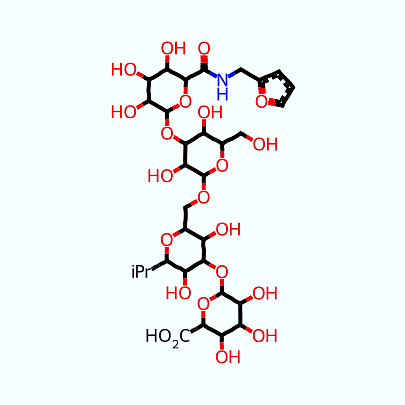 CC(C)C1OC(COC2OC(CO)C(O)C(OC3OC(C(=O)NCc4ccco4)C(O)C(O)C3O)C2O)C(O)C(OC2OC(C(=O)O)C(O)C(O)C2O)C1O